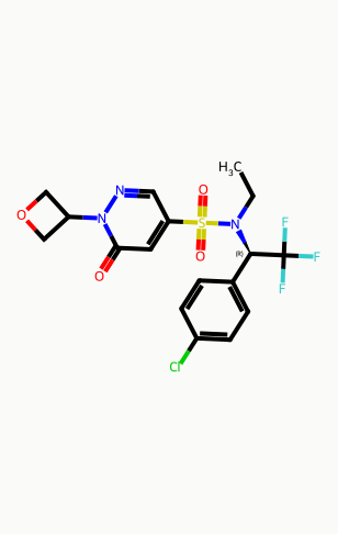 CCN([C@H](c1ccc(Cl)cc1)C(F)(F)F)S(=O)(=O)c1cnn(C2COC2)c(=O)c1